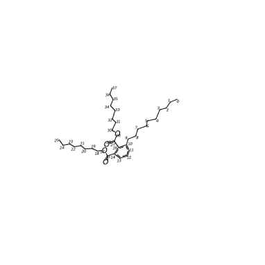 CCCCCCCCCCc1cccc(C(=O)OCCCCCCCC)c1C(=O)OCCCCCCCC